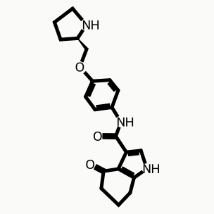 O=C(Nc1ccc(OC[C@H]2CCCN2)cc1)c1c[nH]c2c1C(=O)CCC2